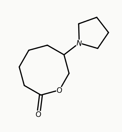 O=C1CCCCC(N2CCCC2)CO1